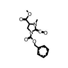 COC(=O)C1CN(C(=O)OCc2ccccc2)C(=C=O)N1C